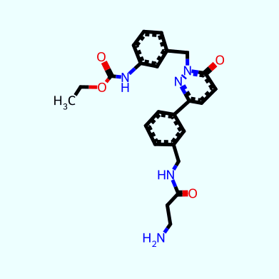 CCOC(=O)Nc1cccc(Cn2nc(-c3cccc(CNC(=O)CCN)c3)ccc2=O)c1